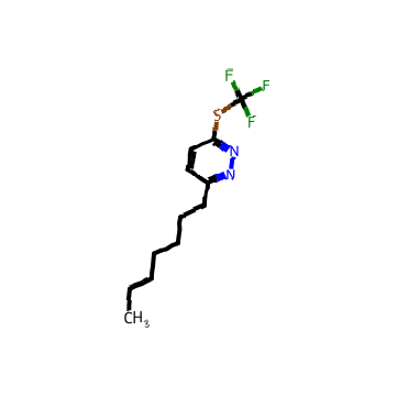 CCCCCCCc1ccc(SC(F)(F)F)nn1